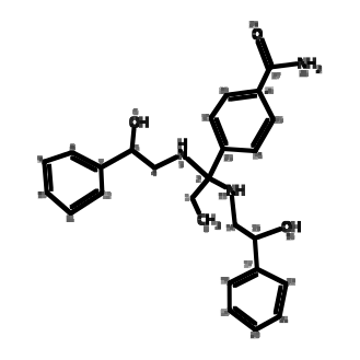 CCC(NCC(O)c1ccccc1)(NCC(O)c1ccccc1)c1ccc(C(N)=O)cc1